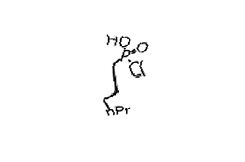 CCCCCCP(=O)(O)Cl